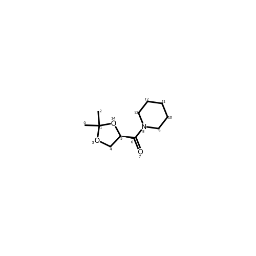 CC1(C)OC[C@H](C(=O)N2CCCCC2)O1